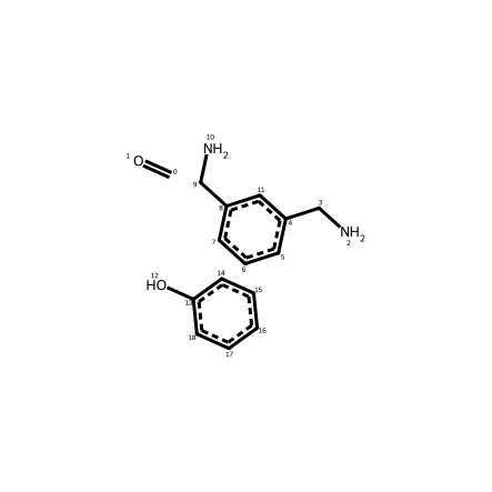 C=O.NCc1cccc(CN)c1.Oc1ccccc1